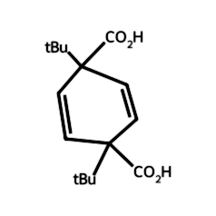 CC(C)(C)C1(C(=O)O)C=CC(C(=O)O)(C(C)(C)C)C=C1